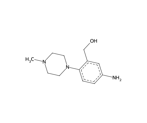 CN1CCN(c2ccc(N)cc2CO)CC1